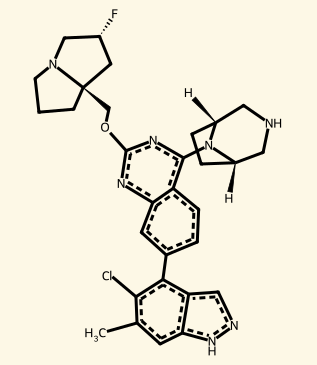 Cc1cc2[nH]ncc2c(-c2ccc3c(N4[C@@H]5CC[C@H]4CNC5)nc(OC[C@@]45CCCN4C[C@H](F)C5)nc3c2)c1Cl